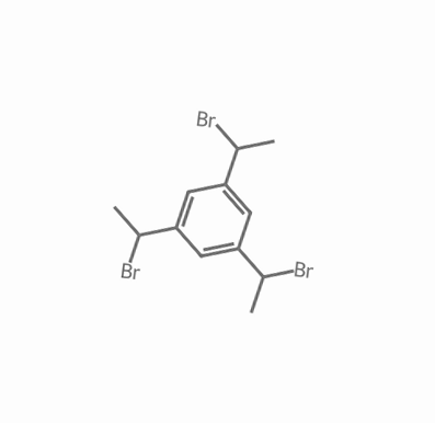 CC(Br)c1cc(C(C)Br)cc(C(C)Br)c1